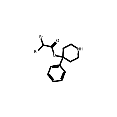 O=C(OC1(c2ccccc2)CCNCC1)C(Br)Br